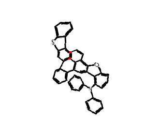 c1ccc(N(c2ccccc2)c2cccc3oc4c5ccccc5c(-c5ccccc5-c5ccc6c(c5)sc5ccccc56)cc4c23)cc1